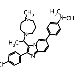 CC(c1c(-c2ccc(Cl)cc2)nc2ccc(-c3ccc(N(C)C)cc3)cn12)N1CCCN(C)CC1